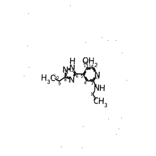 CCNc1cc(-c2nc(CC)n[nH]2)ccn1.O